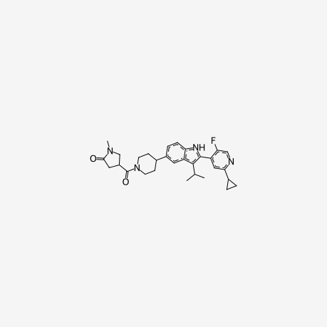 CC(C)c1c(-c2cc(C3CC3)ncc2F)[nH]c2ccc(C3CCN(C(=O)C4CC(=O)N(C)C4)CC3)cc12